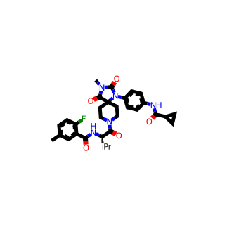 Cc1ccc(F)c(C(=O)N[C@@H](C(=O)N2CCC3(CC2)C(=O)N(C)C(=O)N3c2ccc(NC(=O)C3CC3)cc2)C(C)C)c1